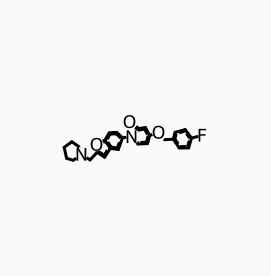 O=c1cc(OCc2ccc(F)cc2)ccn1-c1ccc2oc(CN3CCCCC3)cc2c1